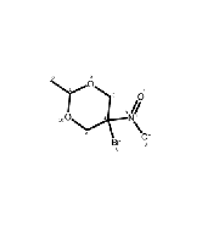 CC1OCC(Br)([N+](=O)[O-])CO1